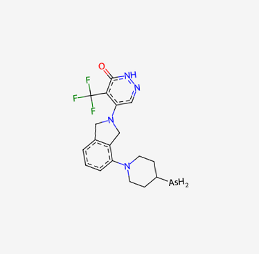 O=c1[nH]ncc(N2Cc3cccc(N4CCC([AsH2])CC4)c3C2)c1C(F)(F)F